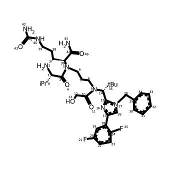 CC(C)[C@H](N)C(=O)N(CCCN(C(=O)CO)[C@@H](c1nc(-c2cc(F)ccc2F)cn1Cc1ccccc1)C(C)(C)C)[C@@H](CCCNC(N)=O)C(N)=O